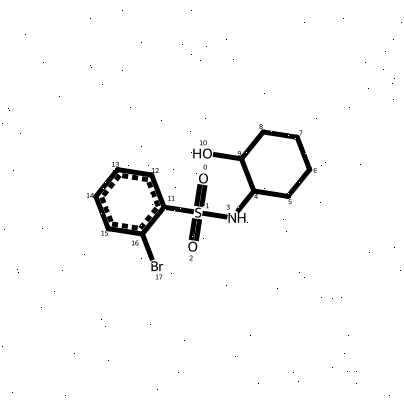 O=S(=O)(NC1CCCCC1O)c1ccccc1Br